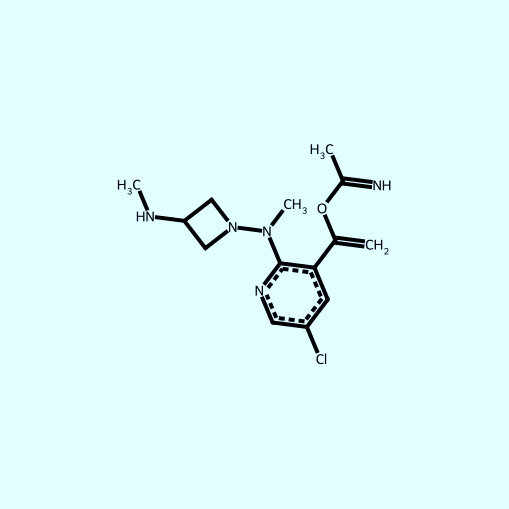 C=C(OC(C)=N)c1cc(Cl)cnc1N(C)N1CC(NC)C1